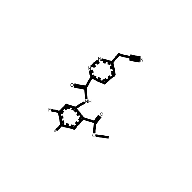 COC(=O)c1cc(F)c(F)cc1NC(=O)c1ccc(CC#N)nn1